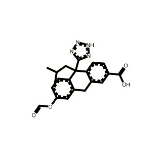 CC(C)CC1(c2nn[nH]n2)c2ccc(OC=O)cc2Cc2cc(C(=O)O)ccc21